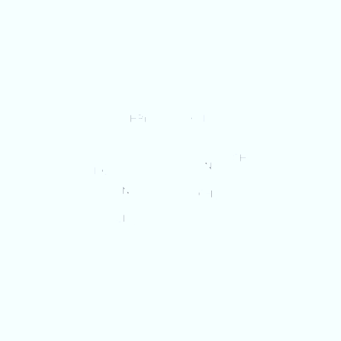 Br.CC(CCN(C)C)N(C)C